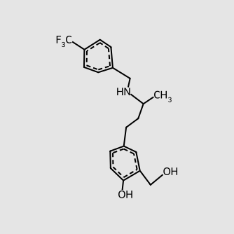 CC(CCc1ccc(O)c(CO)c1)NCc1ccc(C(F)(F)F)cc1